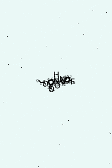 CCCOc1ccc(NC(=O)c2cc3cc(F)ccc3[nH]2)cc1C=O